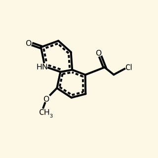 COc1ccc(C(=O)CCl)c2ccc(=O)[nH]c12